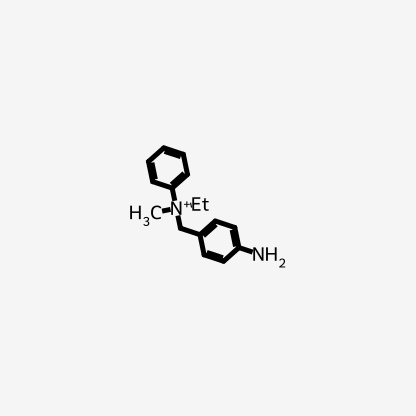 CC[N+](C)(Cc1ccc(N)cc1)c1ccccc1